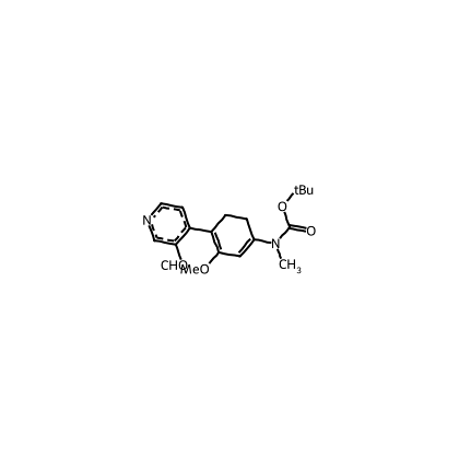 COC1=C(c2ccncc2C=O)CCC(N(C)C(=O)OC(C)(C)C)=C1